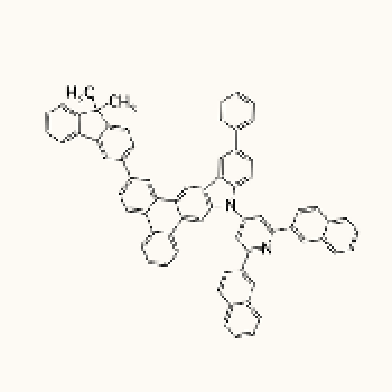 CC1(C)c2ccccc2-c2cc(-c3ccc4c5ccccc5c5cc6c(cc5c4c3)c3cc(-c4ccccc4)ccc3n6-c3cc(-c4ccc5ccccc5c4)nc(-c4ccc5ccccc5c4)c3)ccc21